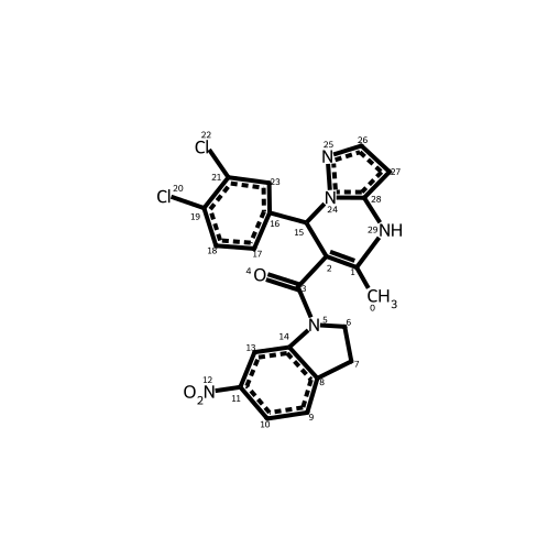 CC1=C(C(=O)N2CCc3ccc([N+](=O)[O-])cc32)C(c2ccc(Cl)c(Cl)c2)n2nccc2N1